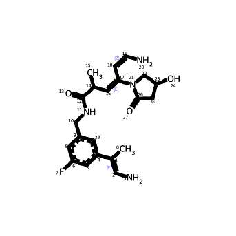 C/C(=C\N)c1cc(F)cc(CNC(=O)C(C)/C=C(\C=C/N)N2CC(O)CC2=O)c1